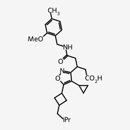 COc1cc(C)ccc1CNC(=O)CC(CC(=O)O)c1noc(C2CC(CC(C)C)C2)c1C1CC1